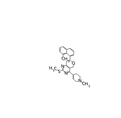 CSc1nc2c(c(C3=CCN(C)CC3)n1)COC(c1cccc3cccc(C)c13)C2